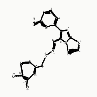 Clc1cccc(-c2nc3sccn3c2/C=N/OCc2ccc(Cl)c(Cl)c2)c1